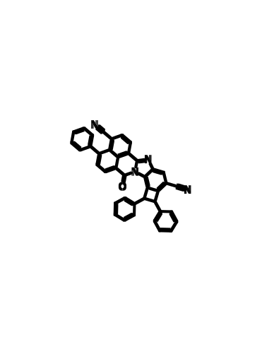 N#Cc1cc2nc3c4ccc(C#N)c5c(-c6ccccc6)ccc(c(=O)n3c2c2c1C(c1ccccc1)C2c1ccccc1)c54